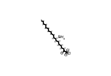 CCCCCCCCCCCCCCCCCCC(=O)C(Cl)(Cl)Cl.[SiH4]